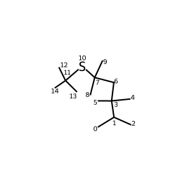 CC(C)C(C)(C)CC(C)(C)SC(C)(C)C